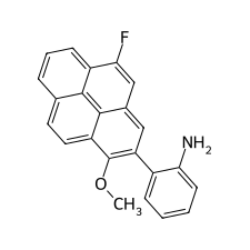 COc1c(-c2ccccc2N)cc2cc(F)c3cccc4ccc1c2c43